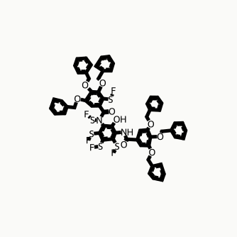 O=C(Nc1c(O)c(N(SF)C(=O)c2cc(OCc3ccccc3)c(OCc3ccccc3)c(OCc3ccccc3)c2SF)c(SF)c(SF)c1SF)c1cc(OCc2ccccc2)c(OCc2ccccc2)c(OCc2ccccc2)c1